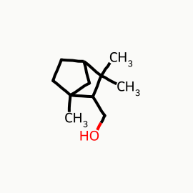 CC12CCC(C1)C(C)(C)C2CO